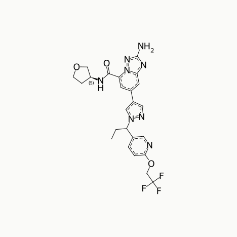 CCC(c1ccc(OCC(F)(F)F)nc1)n1cc(-c2cc(C(=O)N[C@H]3CCOC3)n3nc(N)nc3c2)cn1